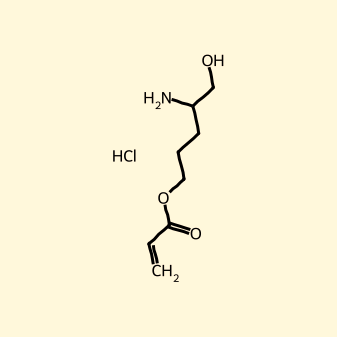 C=CC(=O)OCCCC(N)CO.Cl